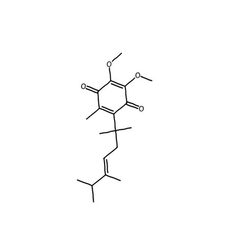 COC1=C(OC)C(=O)C(C(C)(C)C/C=C(\C)C(C)C)=C(C)C1=O